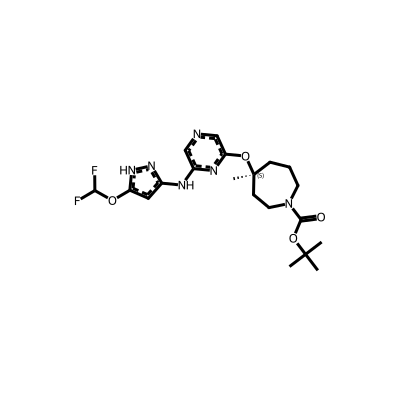 CC(C)(C)OC(=O)N1CCC[C@](C)(Oc2cncc(Nc3cc(OC(F)F)[nH]n3)n2)CC1